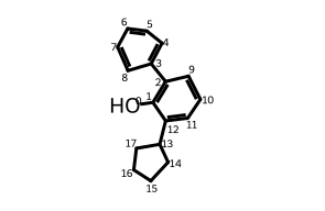 Oc1c(-c2ccccc2)cccc1C1CCCC1